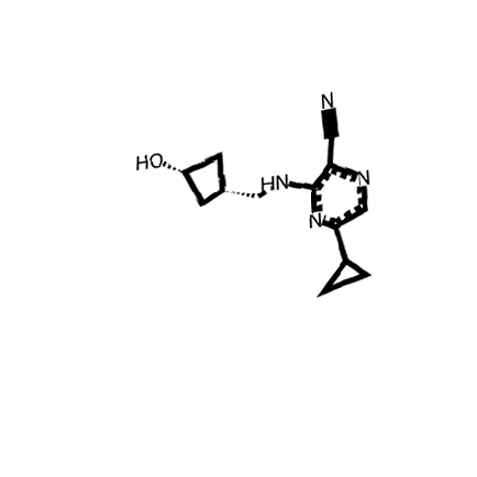 N#Cc1ncc(C2CC2)nc1NC[C@H]1C[C@@H](O)C1